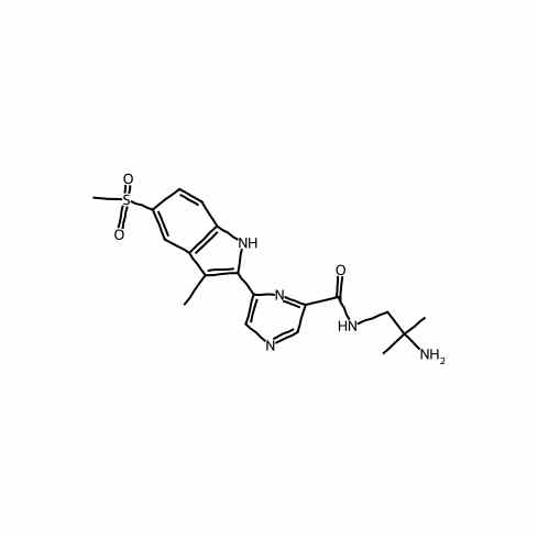 Cc1c(-c2cncc(C(=O)NCC(C)(C)N)n2)[nH]c2ccc(S(C)(=O)=O)cc12